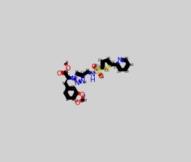 COC(=O)[C@H](Cc1ccc2c(c1)OCO2)n1cc(CNS(=O)(=O)c2ccc(-c3ccccn3)s2)nn1